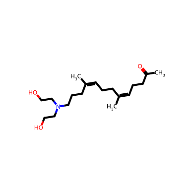 CC(=O)CC/C=C(/C)CC/C=C(/C)CCCN(CCO)CCO